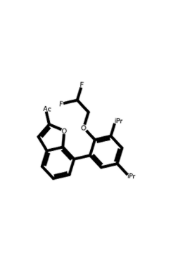 CC(=O)c1cc2cccc(-c3cc(C(C)C)cc(C(C)C)c3OCC(F)F)c2o1